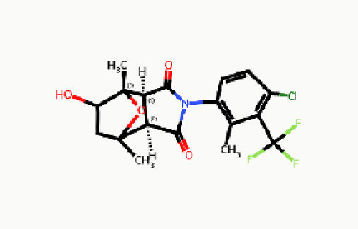 Cc1c(N2C(=O)[C@@H]3[C@H](C2=O)[C@]2(C)OC3(C)CC2O)ccc(Cl)c1C(F)(F)F